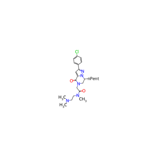 CCCCCC1CN(CC(=O)N(C)CCN(C)C)C(=O)c2cc(-c3ccc(Cl)cc3)nn21